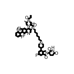 C=CC(=O)N1C[C@@H]2C(=O)N(CCCCCCCN3CCC(c4cc(F)cc5c4CN(C4CCC(=O)NC4=O)C5=O)CC3)c3cnc4c(F)c(-c5c(O)cccc5F)c(Cl)cc4c3N2C[C@H]1C